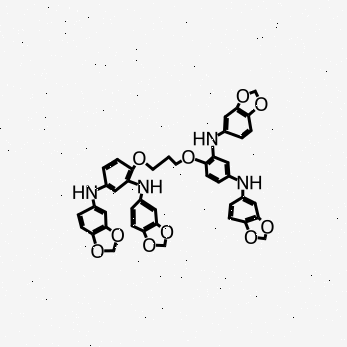 c1cc(OCCCOc2ccc(Nc3ccc4c(c3)OCO4)cc2Nc2ccc3c(c2)OCO3)c(Nc2ccc3c(c2)OCO3)cc1Nc1ccc2c(c1)OCO2